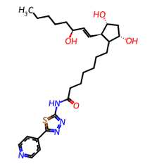 CCCCC[C@H](O)/C=C/[C@@H]1C(CCCCCCC(=O)Nc2nnc(-c3ccncc3)s2)[C@@H](O)C[C@H]1O